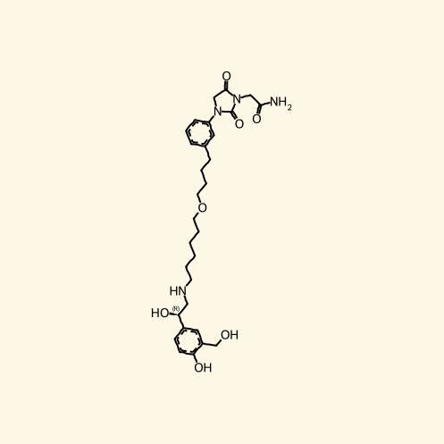 NC(=O)CN1C(=O)CN(c2cccc(CCCCOCCCCCCNC[C@H](O)c3ccc(O)c(CO)c3)c2)C1=O